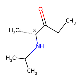 CCC(=O)[C@@H](C)NC(C)C